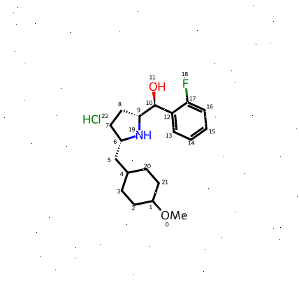 COC1CCC(C[C@@H]2CC[C@H]([C@@H](O)c3ccccc3F)N2)CC1.Cl